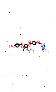 Cc1c(OC(=O)c2ccc(O)cc2)ccc(OC(=O)c2ccc(OCC[n+]3ccn(C)c3)cc2)c1C